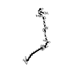 CC(=O)CN(CCO)CCNC(=O)COCCOCCNC(=O)COCCOCCNC(=O)CCC(NC(=O)CCCCCCCCCCCCCCCCC(=O)O)C(=O)O